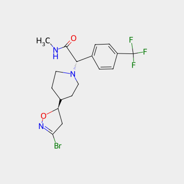 CNC(=O)[C@H](c1ccc(C(F)(F)F)cc1)N1CCC([C@H]2CC(Br)=NO2)CC1